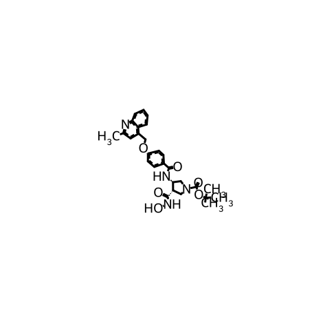 Cc1cc(COc2ccc(C(=O)N[C@@H]3CN(C(=O)OC(C)(C)C)C[C@@H]3C(=O)NO)cc2)c2ccccc2n1